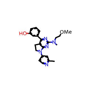 COCCN(C)c1nc(-c2cccc(O)c2)c2c(n1)N(c1ccnc(C)c1)CC2